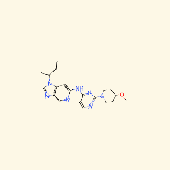 CCC(C)n1cnc2cnc(Nc3ccnc(N4CCC(OC)CC4)n3)cc21